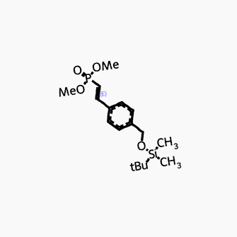 COP(=O)(/C=C/c1ccc(CO[Si](C)(C)C(C)(C)C)cc1)OC